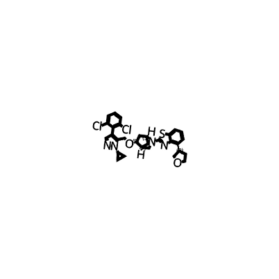 Clc1cccc(Cl)c1-c1cnn(C2CC2)c1CO[C@@H]1C[C@@H]2C[C@H]1CN2c1nc2c([C@H]3CCOC3)cccc2s1